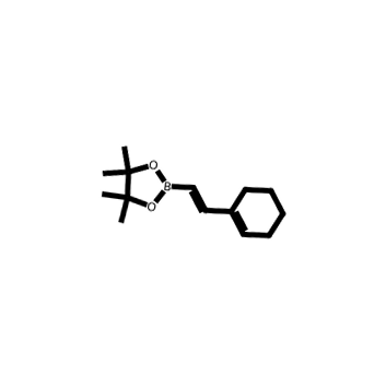 CC1(C)OB(C=CC2=CCCCC2)OC1(C)C